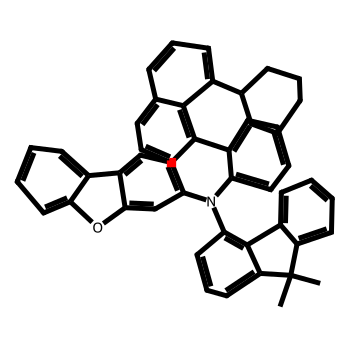 CC1(C)c2ccccc2-c2c(N(c3ccc4c(c3)oc3ccccc34)c3ccccc3-c3cccc4cccc(C5CCCCC5)c34)cccc21